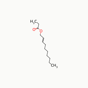 CCCCCCC/C=C/COC(=O)CC